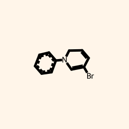 BrC1=CN(c2ccccc2)CC=C1